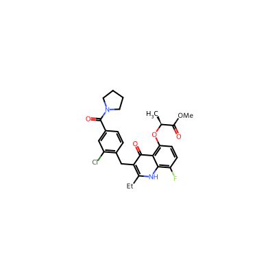 CCc1[nH]c2c(F)ccc(O[C@@H](C)C(=O)OC)c2c(=O)c1Cc1ccc(C(=O)N2CCCC2)cc1Cl